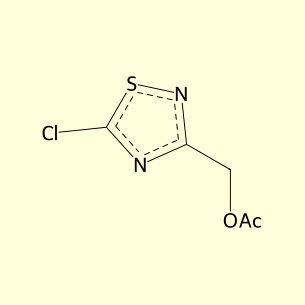 CC(=O)OCc1nsc(Cl)n1